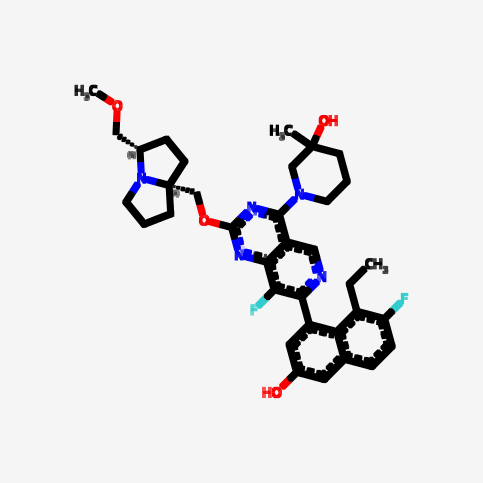 CCc1c(F)ccc2cc(O)cc(-c3ncc4c(N5CCCC(C)(O)C5)nc(OC[C@]56CCCN5[C@H](COC)CC6)nc4c3F)c12